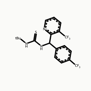 CC(C)(C)NC(=S)NC(c1ccc(C(F)(F)F)cc1)c1ncccc1C(F)(F)F